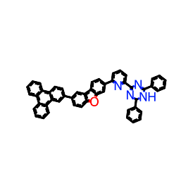 c1ccc(C2=NC(c3cccc(-c4ccc5c(c4)oc4ccc(-c6ccc7c8ccccc8c8ccccc8c7c6)cc45)n3)=NC(c3ccccc3)N2)cc1